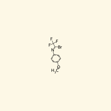 COc1ccc(N=C(Br)C(F)(F)F)cc1